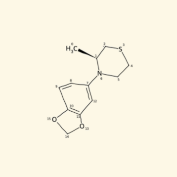 C[C@H]1[CH]SCCN1c1ccc2c(c1)OCO2